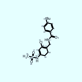 CC(C)(C)c1ccc(C(=O)NCC2=C(Cl)C=C(NS(C)(=O)=O)CC2)cc1